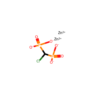 O=P([O-])([O-])C(Cl)P(=O)([O-])[O-].[Zn+2].[Zn+2]